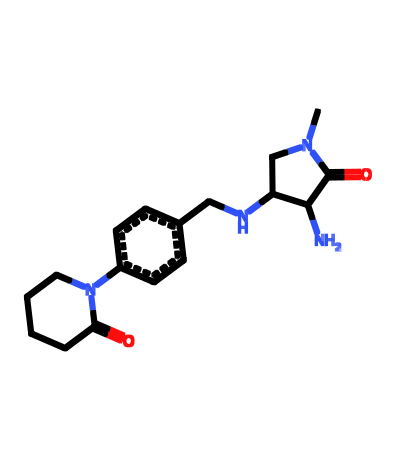 CN1CC(NCc2ccc(N3CCCCC3=O)cc2)C(N)C1=O